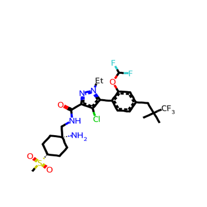 CCn1nc(C(=O)NC[C@]2(N)CC[C@@H](S(C)(=O)=O)CC2)c(Cl)c1-c1ccc(CC(C)(C)C(F)(F)F)cc1OC(F)F